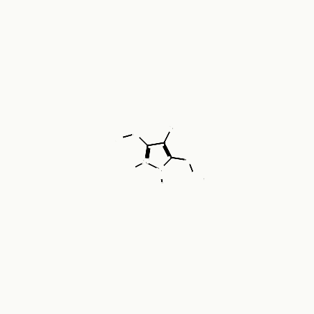 COC1=C(N)C(OC)=[N+]([O-])[NH+]1[O-]